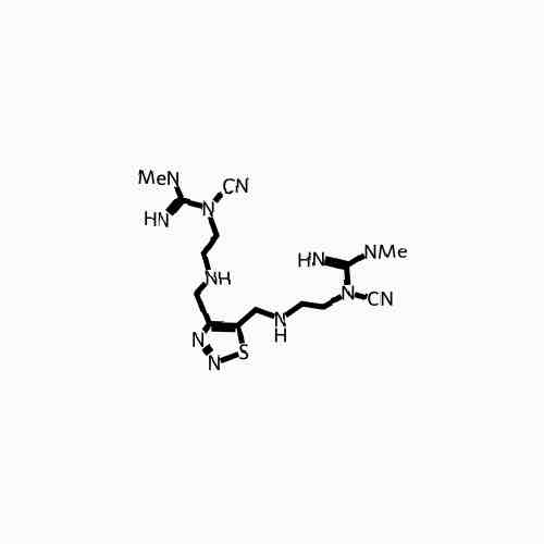 CNC(=N)N(C#N)CCNCc1nnsc1CNCCN(C#N)C(=N)NC